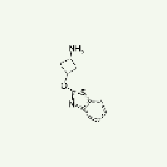 NC1CC(Oc2nc3ccccc3s2)C1